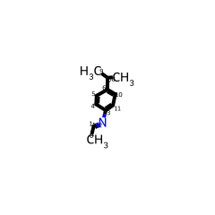 C[C]=Nc1ccc(C(C)C)cc1